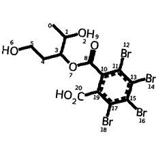 CC(O)C(CCO)OC(=O)c1c(Br)c(Br)c(Br)c(Br)c1C(=O)O